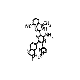 C[C@@H](NC(=O)c1nc(-c2ccc3ncc(F)cc3c2)c(-c2ccn(C)n2)nc1N)c1cccc(C#N)n1